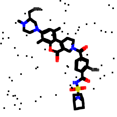 COC[C@H]1CN(c2cc(C)c3c4c(c(=O)oc3c2C)CN(C(=O)c2ccc(C(=O)NS(=O)(=O)N3C5CCC3CC5)c(OC)c2)CC4)CCN1C